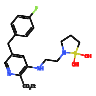 CCOC(=O)c1ncc(Cc2ccc(F)cc2)cc1NCCN1CCCS1(O)O